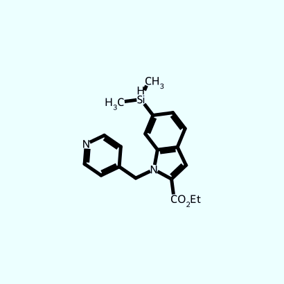 CCOC(=O)c1cc2ccc([SiH](C)C)cc2n1Cc1ccncc1